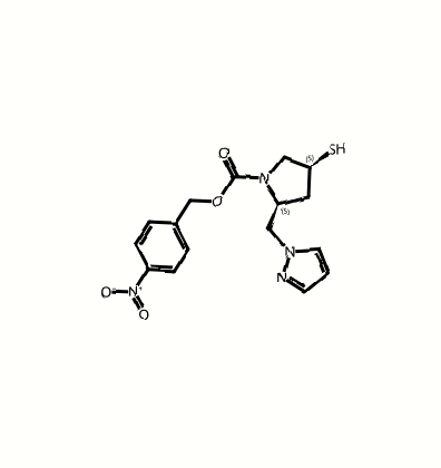 O=C(OCc1ccc([N+](=O)[O-])cc1)N1C[C@@H](S)C[C@H]1Cn1cccn1